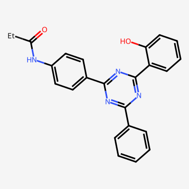 CCC(=O)Nc1ccc(-c2nc(-c3ccccc3)nc(-c3ccccc3O)n2)cc1